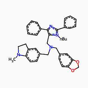 CCCCn1c(-c2ccccc2)nc(-c2ccccc2)c1CN(Cc1ccc2c(c1)CCN2C)Cc1ccc2c(c1)OCO2